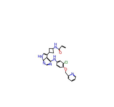 C=CC(=O)NC1CC(c2c[nH]c3ncnc(Nc4ccc(OCc5ccccn5)c(Cl)c4)c23)C1